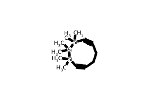 C[Si]1(C)C#CCCC#C[Si](C)(C)[Si]1(C)C